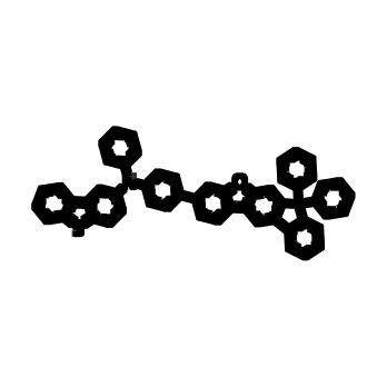 c1ccc(N(c2ccc(-c3ccc4c(c3)oc3cc5c(cc34)-c3ccccc3C5(c3ccccc3)c3ccccc3)cc2)c2ccc3sc4ccccc4c3c2)cc1